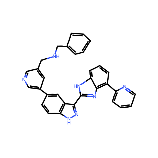 c1ccc(CNCc2cncc(-c3ccc4[nH]nc(-c5nc6c(-c7ccccn7)cccc6[nH]5)c4c3)c2)cc1